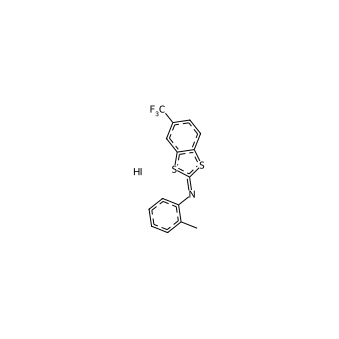 Cc1ccccc1N=c1sc2ccc(C(F)(F)F)cc2s1.I